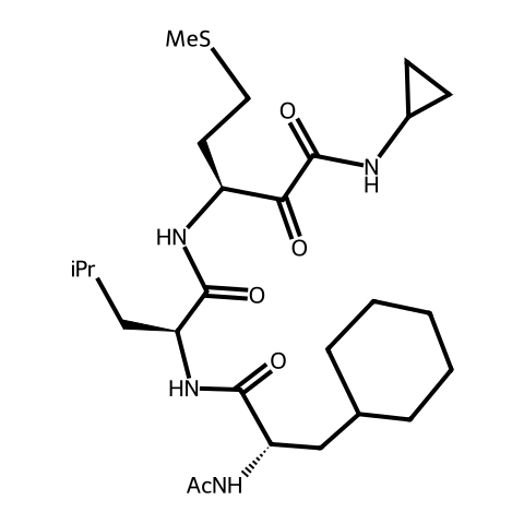 CSCC[C@H](NC(=O)[C@H](CC(C)C)NC(=O)[C@H](CC1CCCCC1)NC(C)=O)C(=O)C(=O)NC1CC1